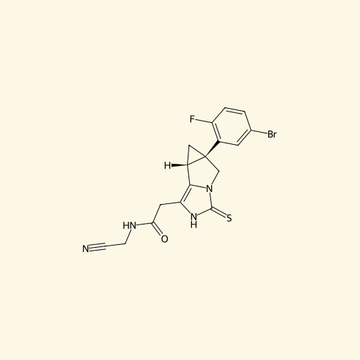 N#CCNC(=O)Cc1[nH]c(=S)n2c1[C@@H]1C[C@]1(c1cc(Br)ccc1F)C2